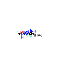 CC(=O)NC(C)c1c(F)c(Cl)c(-c2cn3cc(NC(=O)[C@@H]4C[C@@H]4F)nc3cn2)c2cn[nH]c12